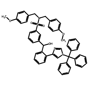 COc1ccc(CN(Cc2ccc(OC)cc2)S(=O)(=O)c2cccc(C(O)c3ccccc3-c3cn(C(c4ccccc4)(c4ccccc4)c4ccccc4)cn3)c2)cc1